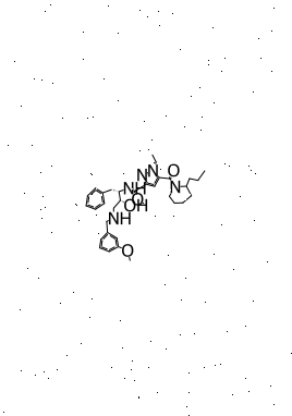 CCCC1CCCCN1C(=O)c1cc(C(=O)N[C@@H](Cc2ccccc2)[C@H](O)CNCc2cccc(OC)c2)nn1CC